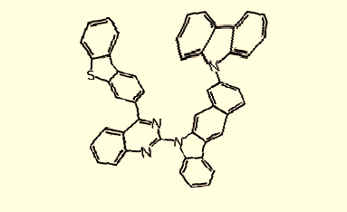 c1ccc2c(-c3ccc4c(c3)sc3ccccc34)nc(-n3c4ccccc4c4cc5ccc(-n6c7ccccc7c7ccccc76)cc5cc43)nc2c1